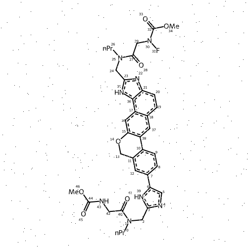 CCCN(Cc1ncc(-c2ccc3c(c2)COc2cc4c(ccc5nc(CN(CCC)C(=O)CN(F)C(=O)OC)[nH]c54)cc2-3)[nH]1)C(=O)CNC(=O)OC